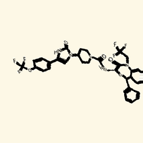 O=C(N[C@@H]1N=C(c2ccccc2)c2ccccc2N(CC(F)(F)F)C1=O)N1CCC(n2cc(-c3ccc(OC(F)(F)F)cc3)[nH]c2=O)CC1